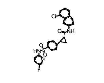 O=C(Nc1ccc2cccc(Cl)c2c1)[C@@H]1CC1c1ccc(S(=O)(=O)Nc2ccc(F)cn2)cc1